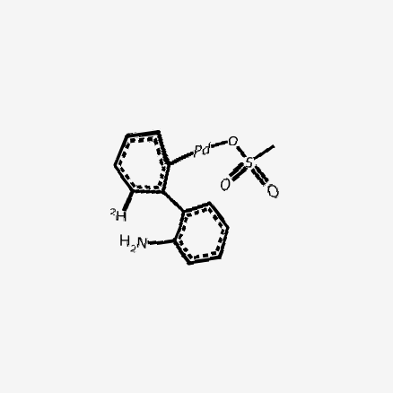 [2H]c1ccc[c]([Pd][O]S(C)(=O)=O)c1-c1ccccc1N